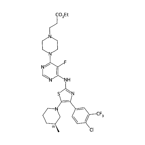 CCOC(=O)CCN1CCN(c2ncnc(Nc3nc(-c4ccc(Cl)c(C(F)(F)F)c4)c(N4CCC[C@H](C)C4)s3)c2F)CC1